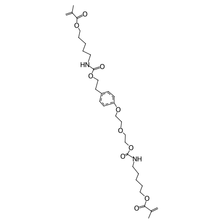 C=C(C)C(=O)OCCCCCNC(=O)OCCOCCOc1ccc(CCOC(=O)NCCCCCOC(=O)C(=C)C)cc1